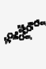 Cc1ccc(Nc2cc3c(cn2)CN(c2cc(NC(=O)c4cccc(C(F)(F)F)c4)ccc2C)C(=O)N3C)cn1